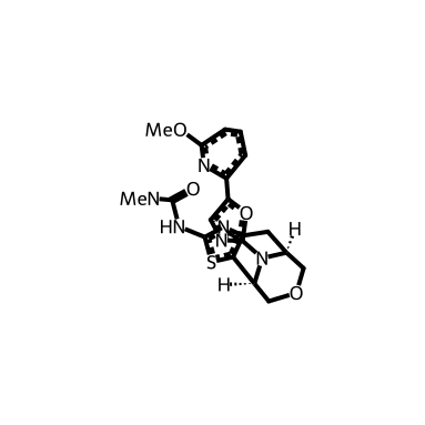 CNC(=O)Nc1nc2c(s1)[C@@H]1COC[C@H](C2)N1c1ncc(-c2cccc(OC)n2)o1